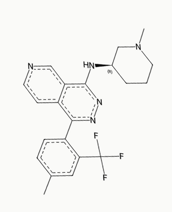 Cc1ccc(-c2nnc(N[C@@H]3CCCN(C)C3)c3cnccc23)c(C(F)(F)F)c1